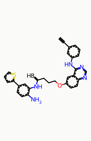 B=C(CCCOc1ccc2ncnc(Nc3cccc(C#C)c3)c2c1)Nc1cc(-c2cccs2)ccc1N